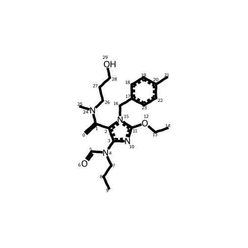 C=C(c1c(N(C=O)CCC)nc(OCC)n1Cc1ccc(C)cc1)N(C)CCCO